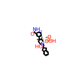 CS(=O)(=O)O.C[C@H]1CN(CC2(O)Cc3ccccc3C2)CC[C@]1(C)c1cccc(C(N)=O)c1